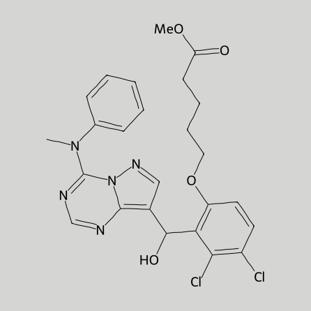 COC(=O)CCCCOc1ccc(Cl)c(Cl)c1C(O)c1cnn2c(N(C)c3ccccc3)ncnc12